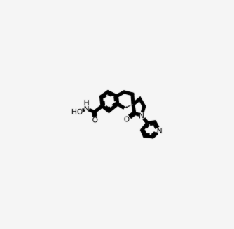 O=C(NO)c1ccc2c(c1)C[C@]1(CC2)CCN(c2cccnc2)C1=O